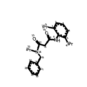 CC(C)c1cccc(C(C)C)c1NC(=O)CC(=O)N(Cc1ccccc1)C(C)C